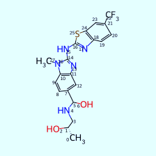 C[C@H](O)CNC(O)c1ccc2c(c1)nc(Nc1nc3ccc(C(F)(F)F)cc3s1)n2C